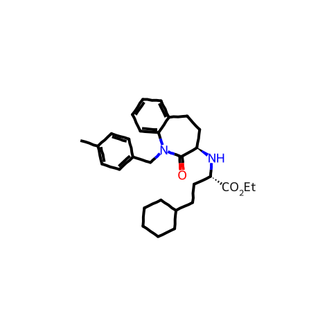 CCOC(=O)[C@H](CCC1CCCCC1)N[C@@H]1CCc2ccccc2N(Cc2ccc(C)cc2)C1=O